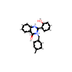 Cc1ccc(Cn2c(-c3ccccc3O)nc3ccccc3c2=O)cc1